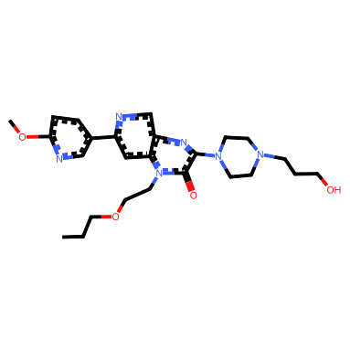 CCCOCCn1c(=O)c(N2CCN(CCCO)CC2)nc2cnc(-c3ccc(OC)nc3)cc21